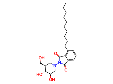 CCCCCCCCCCc1cccc2c1C(=O)N(N1C[C@H](CO)[C@@H](O)[C@H](O)C1)C2=O